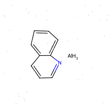 [AlH3].c1ccc2ncccc2c1